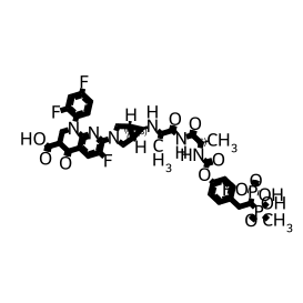 CC(N[C@H]1[C@@H]2CN(c3nc4c(cc3F)C(=O)C(C(=O)O)CN4c3ccc(F)cc3F)C[C@@H]21)C(=O)NC(=O)[C@H](C)NC(=O)Oc1ccc(CC(P(C)(=O)O)P(=O)(O)O)cc1